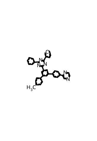 Cc1ccc(-c2cc(-c3ccc(-c4cnccn4)cc3)cc(-c3nc(-c4ccccc4)nc(-c4ccccc4)n3)c2)cc1